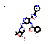 CC1(C)OB(O)c2cnc(Nc3cc(N[C@H](CO)c4ccccc4)c(-c4nc(C56CCN(CC5)CC6)no4)cn3)nc21